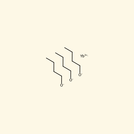 CCCC[O-].CCCC[O-].CCCC[O-].[Yb+3]